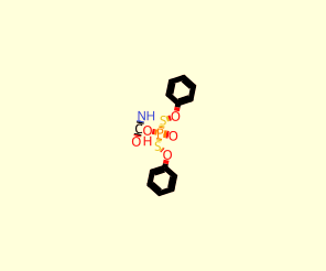 N=C=O.O=P(O)(SOc1ccccc1)SOc1ccccc1